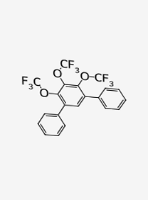 FC(F)(F)Oc1c(-c2ccccc2)cc(-c2ccccc2)c(OC(F)(F)F)c1OC(F)(F)F